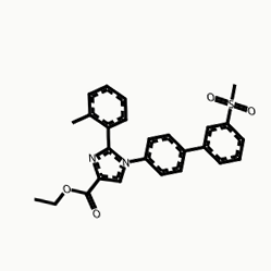 CCOC(=O)c1cn(-c2ccc(-c3cccc(S(C)(=O)=O)c3)cc2)c(-c2ccccc2C)n1